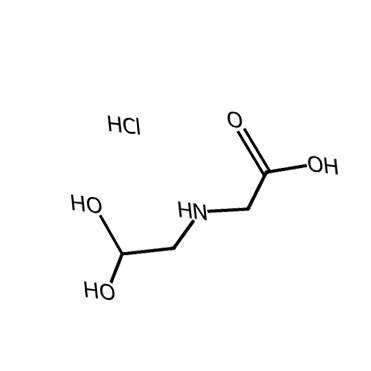 Cl.O=C(O)CNCC(O)O